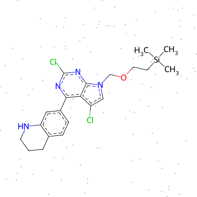 C[Si](C)(C)CCOCn1cc(Cl)c2c(-c3ccc4c(c3)NCCC4)nc(Cl)nc21